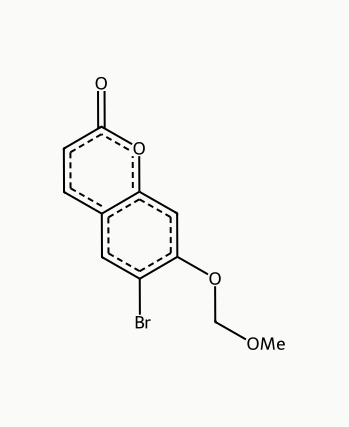 COCOc1cc2oc(=O)ccc2cc1Br